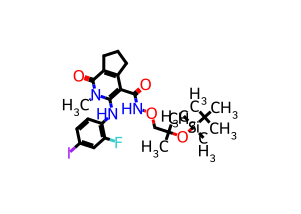 Cn1c(Nc2ccc(I)cc2F)c(C(=O)NOCC(C)(C)O[Si](C)(C)C(C)(C)C)c2c(c1=O)CCC2